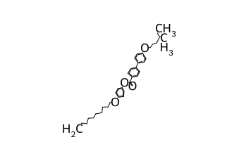 C=CCCCCCCCCOc1ccc(OC(=O)c2ccc(-c3ccc(OCCCC(C)CC)cc3)cc2)cc1